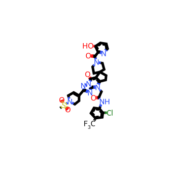 CS(=O)(=O)N1CC=C(c2nc3n(CC(=O)Nc4ccc(C(F)(F)F)cc4Cl)c4c(c(=O)n3n2)C2(CC4)CCN(C(=O)c3ncccc3O)CC2)CC1